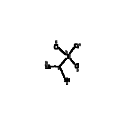 CC[CH](S)[Ti]([Cl])([Cl])[Cl]